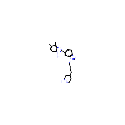 Cc1ccc2c(c1C)NC(c1ccc3ncn(CCCCC4CCNCC4)c3c1)N2